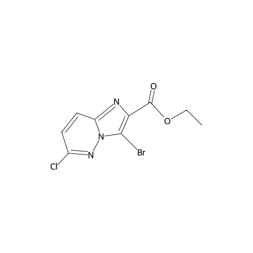 CCOC(=O)c1nc2ccc(Cl)nn2c1Br